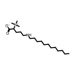 CCCCCCCCCCCCNCCCC(C(=O)[O-])[N+](C)(C)C